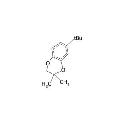 CC1(C)COc2ccc(C(C)(C)C)cc2O1